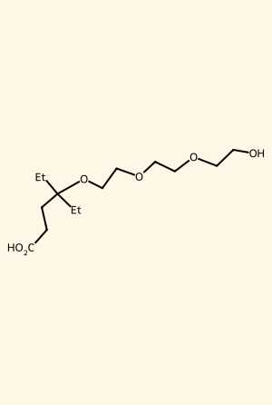 CCC(CC)(CCC(=O)O)OCCOCCOCCO